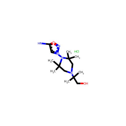 CC(C)(CO)N1CC(C)(C)N([n+]2cc([NH-])on2)C(C)(C)C1.Cl